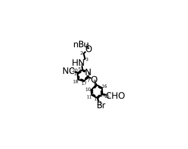 CCCCOCCNc1nc(Oc2ccc(Br)c(C=O)c2)ccc1C#N